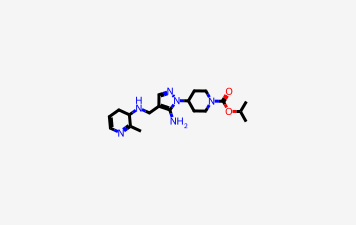 CC1=NC=CCC1NCc1cnn(C2CCN(C(=O)OC(C)C)CC2)c1N